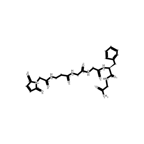 CC(=O)CNC(=O)[C@H](Cc1ccccc1)NC(=O)CNC(=O)CNC(=O)CCNC(=O)CN1C(=O)C=CC1=O